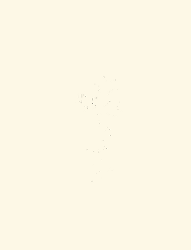 CCC(=O)N(CCNC(=O)C(CS)CC1CC1)Cc1ccc(-c2ccccc2-c2nnn[nH]2)cc1